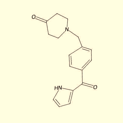 O=C1CCN(Cc2ccc(C(=O)c3ccc[nH]3)cc2)CC1